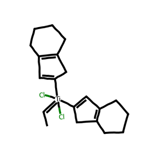 C[CH]=[Ti]([Cl])([Cl])([C]1=CC2=C(CCCC2)C1)[C]1=CC2=C(CCCC2)C1